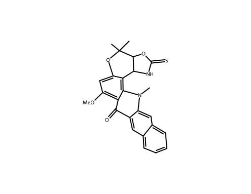 COc1cc2c(c3c1c(=O)c1cc4ccccc4cc1n3C)C1NC(=S)OC1C(C)(C)O2